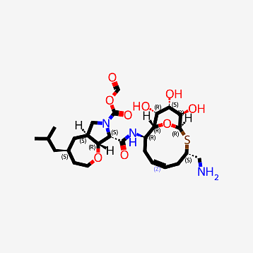 CC(C)C[C@@H]1CCO[C@@H]2[C@@H](C1)CN(C(=O)OC=O)[C@@H]2C(=O)N[C@@H]1C/C=C\C[C@@H](CN)S[C@H]2O[C@H]1[C@H](O)[C@H](O)[C@H]2O